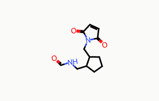 O=CNCC1CCCC1CN1C(=O)C=CC1=O